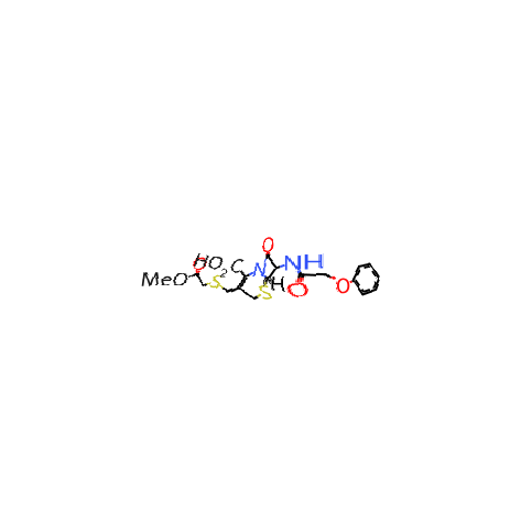 COC(=O)CSCC1=C(C(=O)O)N2C(=O)C(NC(=O)COc3ccccc3)[C@H]2SC1